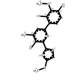 COc1cnc(-c2nc(-c3ccc(Cl)c(OC)c3F)cc(N)c2Cl)o1